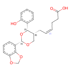 O=C(O)CC/C=C\C[C@@H]1CO[C@H](c2cccc3c2OCO3)O[C@@H]1c1ccccc1O